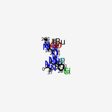 Cc1nc2nc(N3CCN(C(=O)OC(C)(C)C)C(c4cnn(C5CC5)c4)C3)nc(-c3ccc(Cl)cc3F)c2nc1C